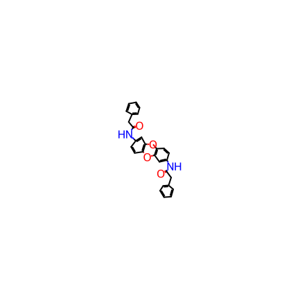 O=C(Cc1ccccc1)Nc1ccc2c(c1)Oc1ccc(NC(=O)Cc3ccccc3)cc1O2